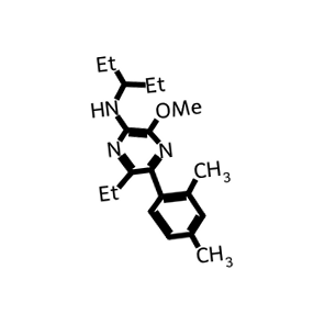 CCc1nc(NC(CC)CC)c(OC)nc1-c1ccc(C)cc1C